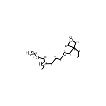 CCC1(COCCC[SiH](C)CO[SiH3])COC1